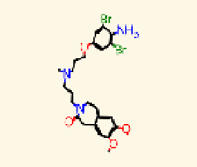 COc1cc2c(cc1OC)CC(=O)N(CCCN(C)CCCOc1cc(Br)c(N)c(Br)c1)CC2